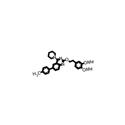 COc1ccc(CCOc2nc(N3CCCCC3)c3cc(-c4ccc(C)cc4)ccc3n2)cc1OC